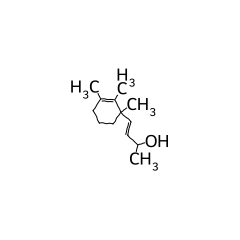 CC1=C(C)C(C)(C=CC(C)O)CCC1